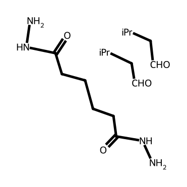 CC(C)CC=O.CC(C)CC=O.NNC(=O)CCCCC(=O)NN